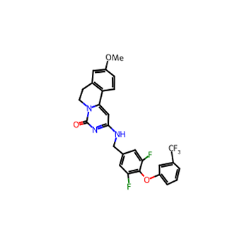 COc1ccc2c(c1)CCn1c-2cc(NCc2cc(F)c(Oc3cccc(C(F)(F)F)c3)c(F)c2)nc1=O